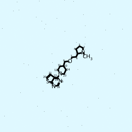 CN1CCCC1CCOCC1CCN(c2ncnc3sccc23)CC1